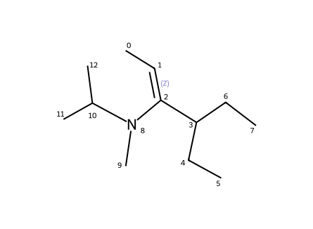 C/C=C(/C(CC)CC)N(C)C(C)C